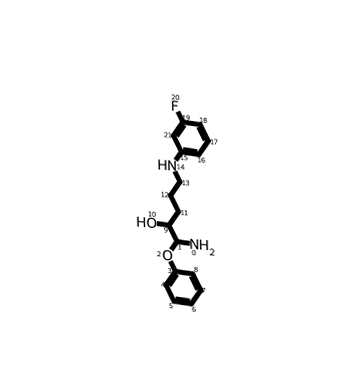 NC(Oc1ccccc1)C(O)CCCNc1cccc(F)c1